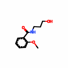 COc1ccccc1C(=O)NCCCO